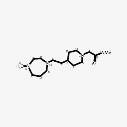 CNC(=O)CN1CCC(CCN2CCCN(C)CC2)CC1